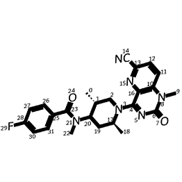 C[C@@H]1CN(c2nc(=O)n(C)c3ccc(C#N)nc23)[C@@H](C)CC1N(C)C(=O)c1ccc(F)cc1